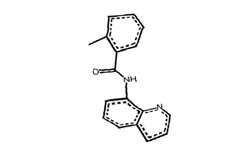 Cc1ccccc1C(=O)Nc1cccc2cccnc12